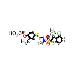 CCCN(CCSc1ccc(OCC(=O)O)c(C)c1)S(=O)(=O)c1sc2cccc(Cl)c2c1C